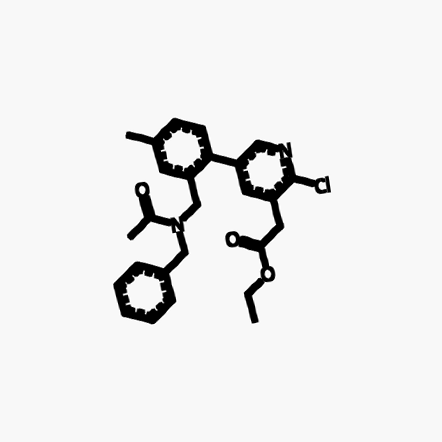 CCOC(=O)Cc1cc(-c2ccc(C)cc2CN(Cc2ccccc2)C(C)=O)cnc1Cl